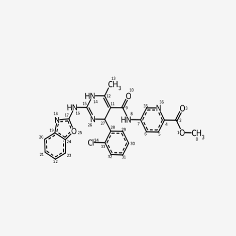 COC(=O)c1ccc(NC(=O)C2=C(C)NC(Nc3nc4ccccc4o3)=NC2c2ccccc2Cl)cn1